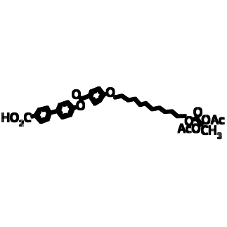 CC(=O)OC(C)(OC(C)=O)C(=O)OCCCCCCCCCCCCOc1ccc(C(=O)Oc2ccc(-c3ccc(C(=O)O)cc3)cc2)cc1